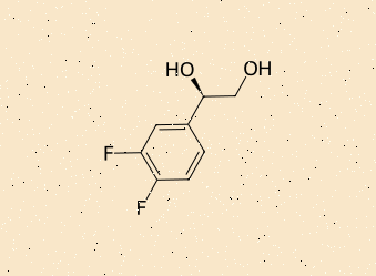 OC[C@H](O)c1ccc(F)c(F)c1